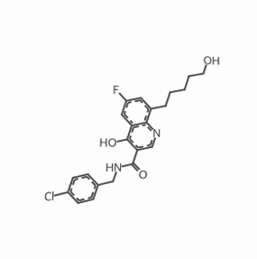 O=C(NCc1ccc(Cl)cc1)c1cnc2c(CCCCCO)cc(F)cc2c1O